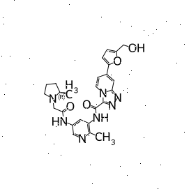 Cc1ncc(NC(=O)CN2CCC[C@H]2C)cc1NC(=O)c1nnc2cc(-c3ccc(CO)o3)ccn12